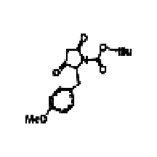 COc1ccc(C[C@H]2C(=O)CC(=O)N2C(=O)OC(C)(C)C)cc1